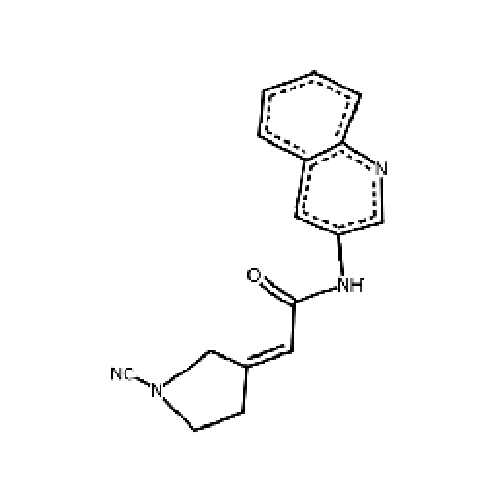 N#CN1CCC(=CC(=O)Nc2cnc3ccccc3c2)C1